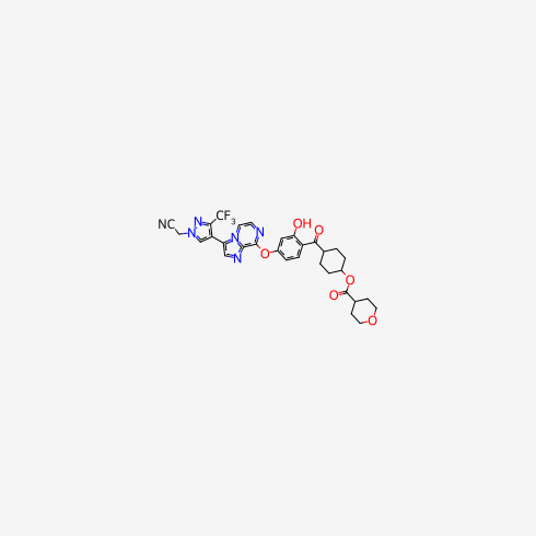 N#CCn1cc(-c2cnc3c(Oc4ccc(C(=O)C5CCC(OC(=O)C6CCOCC6)CC5)c(O)c4)nccn23)c(C(F)(F)F)n1